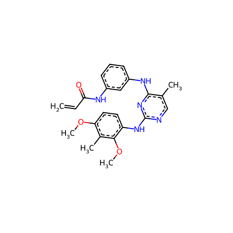 C=CC(=O)Nc1cccc(Nc2nc(Nc3ccc(OC)c(C)c3OC)ncc2C)c1